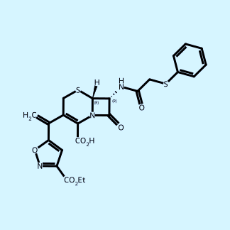 C=C(C1=C(C(=O)O)N2C(=O)[C@@H](NC(=O)CSc3ccccc3)[C@H]2SC1)c1cc(C(=O)OCC)no1